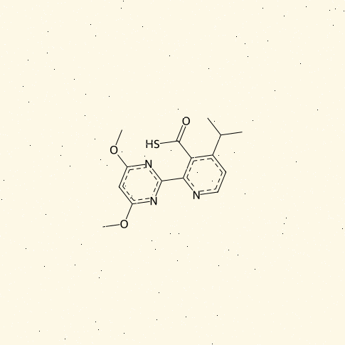 COc1cc(OC)nc(-c2nccc(C(C)C)c2C(=O)S)n1